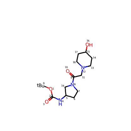 CC(C)(C)OC(=O)NC1CCN(C(=O)CN2CCC(O)CC2)C1